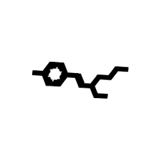 CCCCC(/C=C/c1ccc(C)cc1)CC